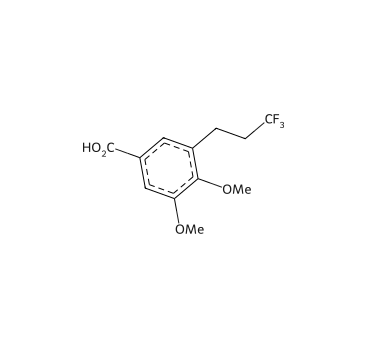 COc1cc(C(=O)O)cc(CCC(F)(F)F)c1OC